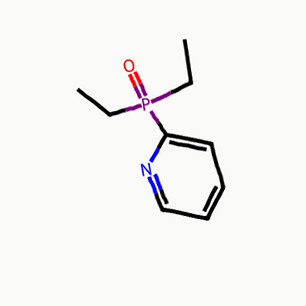 CCP(=O)(CC)c1ccccn1